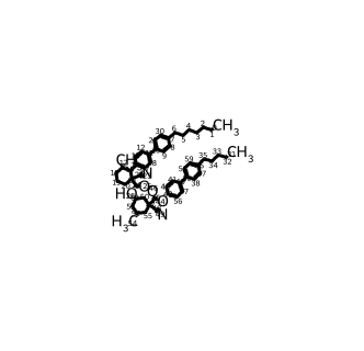 CCCCCCCc1ccc(-c2ccc(C3C(C)CCCC3(C#N)C(=O)O)cc2)cc1.CCCCCc1ccc(-c2ccc(OC(=O)C3(C#N)CCCC(C)C3)cc2)cc1